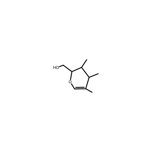 CC1=COC(CO)C(C)C1C